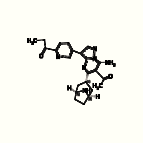 CCC(=O)c1ccc(-c2cnn3c(N)c(C(C)=O)c([C@@H]4C[C@H]5CC[C@@H](C4)N5)nc23)cn1